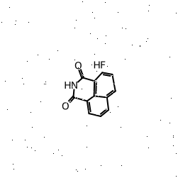 F.O=C1NC(=O)c2cccc3cccc1c23